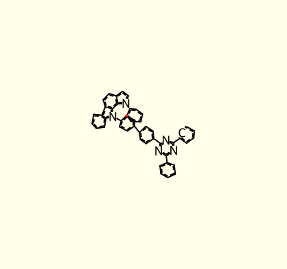 c1ccc(-c2nc(-c3ccccc3)nc(-c3ccc(-c4ccc(-n5c6ccccc6c6ccc7ccn(-c8ccccc8)c7c65)cc4)cc3)n2)cc1